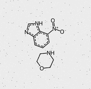 C1COCCN1.O=[N+]([O-])c1cccc2nc[nH]c12